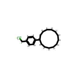 ClCc1ccc(C2CCCCCCCCCCCC2)cc1